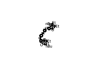 CCCCC(CC)COC(=O)c1ccc(Oc2ccc(C(C)(C)c3ccc(Oc4ccc(C(=O)OCC(CC)CCCC)c(C(=O)OCC(CC)CCCC)c4)cc3)cc2)cc1C(=O)OCC(CC)CCCC